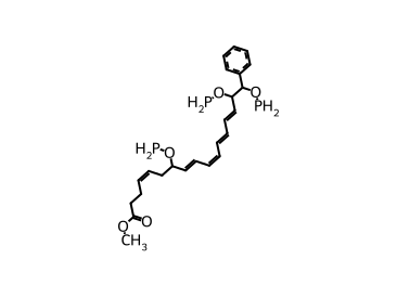 COC(=O)CC/C=C\CC(/C=C/C=C\C=C\C=C\C(OP)C(OP)c1ccccc1)OP